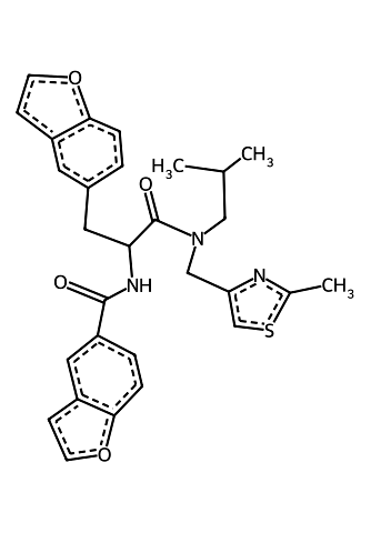 Cc1nc(CN(CC(C)C)C(=O)C(Cc2ccc3occc3c2)NC(=O)c2ccc3occc3c2)cs1